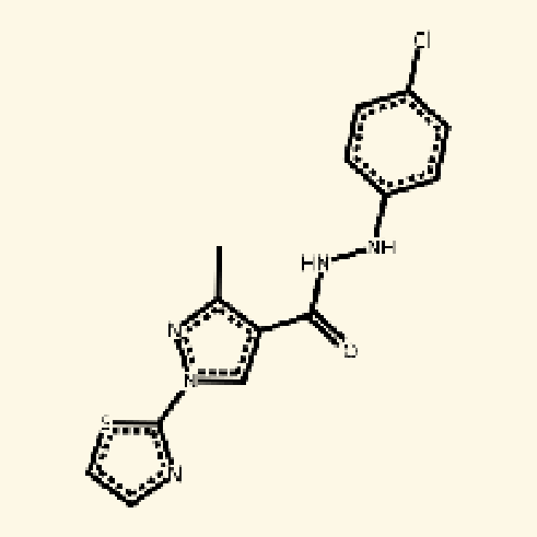 Cc1nn(-c2nccs2)cc1C(=O)NNc1ccc(Cl)cc1